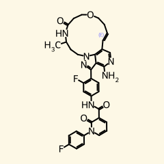 CC1CCn2nc(-c3ccc(NC(=O)c4cccn(-c5ccc(F)cc5)c4=O)cc3F)c3c(N)ncc(c32)/C=C/CCOCCC(=O)N1